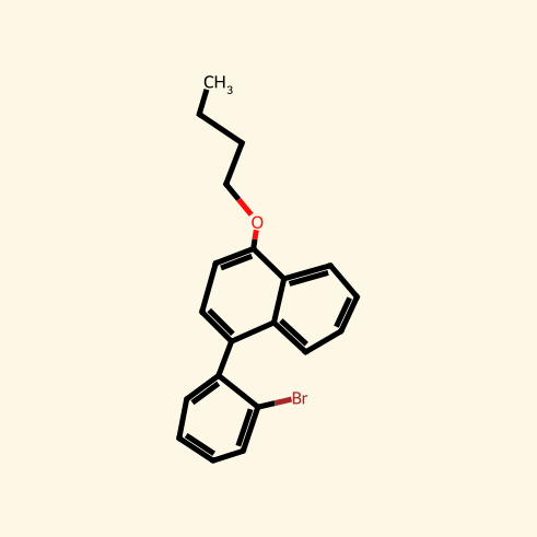 CCCCOc1ccc(-c2ccccc2Br)c2ccccc12